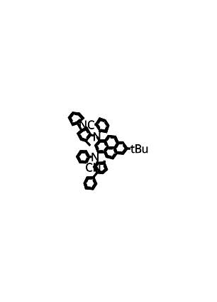 Cc1ccc(-c2ccccc2)cc1N(c1ccccc1C#N)c1cc(N(c2cc(-c3ccccc3)ccc2C)c2ccccc2C#N)c2ccc3cc(C(C)(C)C)cc4ccc1c2c43